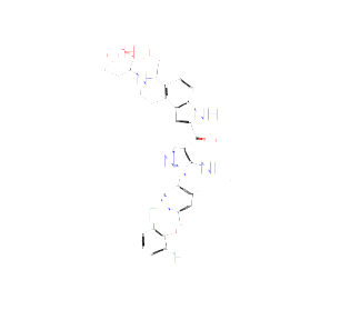 Cc1cc(Oc2c(F)cccc2F)ncc1-n1ncc(C(=O)c2cc3c4c(ccc3[nH]2)C(CO)N(C2CCOCC2)CC4)c1N